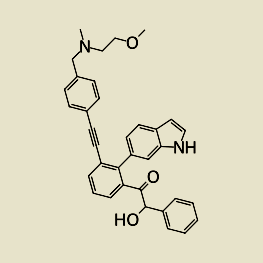 COCCN(C)Cc1ccc(C#Cc2cccc(C(=O)C(O)c3ccccc3)c2-c2ccc3cc[nH]c3c2)cc1